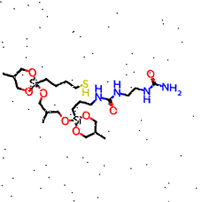 CC1CO[Si](CCCCS)(OCC(C)CO[Si]2(CCCNC(=O)NCCNC(N)=O)OCC(C)CO2)OC1